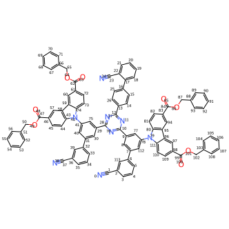 N#Cc1cccc(-c2cc(-c3nc(-c4ccc(-c5ccccc5C#N)cc4)nc(-c4cc(-c5cccc(C#N)c5)cc(-n5c6ccc(C(=O)OCc7ccccc7)cc6c6cc(C(=O)OCc7ccccc7)ccc65)c4)n3)cc(-n3c4ccc(C(=O)OCc5ccccc5)cc4c4cc(C(=O)OCc5ccccc5)ccc43)c2)c1